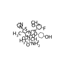 COc1ccc(F)cc1[C@H](Cn1c(=O)n(C(C)(C)C(N)=O)c(=O)c2c(C)c(-n3cccn3)sc21)O[C@H]1CC[C@H](O)CC1